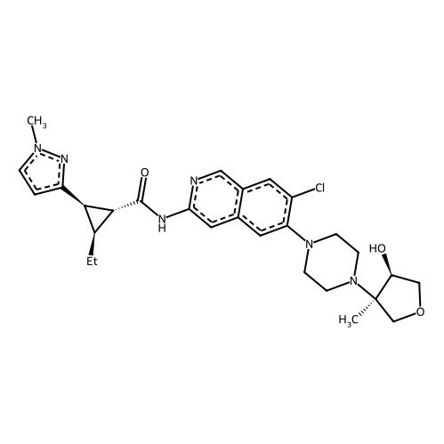 CC[C@@H]1[C@@H](C(=O)Nc2cc3cc(N4CCN([C@]5(C)COC[C@@H]5O)CC4)c(Cl)cc3cn2)[C@@H]1c1ccn(C)n1